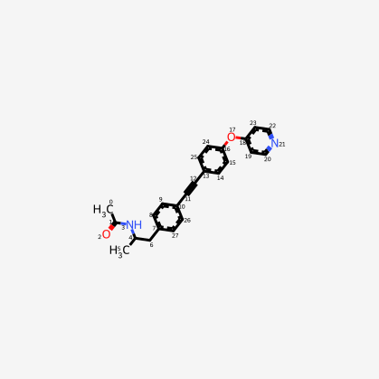 CC(=O)NC(C)Cc1ccc(C#Cc2ccc(Oc3ccncc3)cc2)cc1